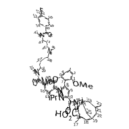 COc1cccc(OC)c1-c1cc(C(=O)NC2(C(=O)O)C(C)CC3CC(C)CC2C3)nn1-c1ccc(C(=O)N(C)CCCN(C)CCCN(C)C(=O)c2ccc(F)cc2)cc1C(C)C